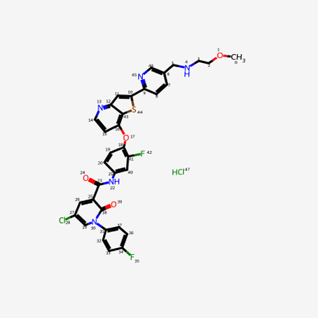 COCCNCc1ccc(-c2cc3nccc(Oc4ccc(NC(=O)c5cc(Cl)cn(-c6ccc(F)cc6)c5=O)cc4F)c3s2)nc1.Cl